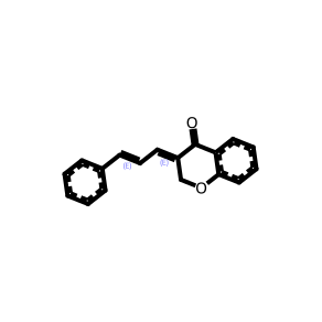 O=C1/C(=C/C=C/c2ccccc2)COc2ccccc21